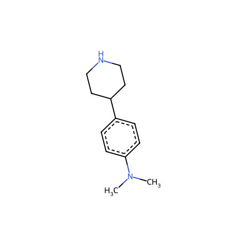 CN(C)c1ccc(C2CCNCC2)cc1